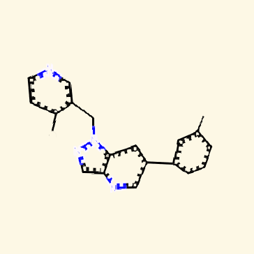 Cc1ccncc1Cn1ncc2ncc(-c3cccc(C(F)(F)F)c3)cc21